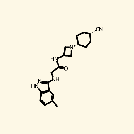 Cc1ccc2[nH]nc(NCC(=O)NC3CN([C@H]4CC[C@@H](C#N)CC4)C3)c2c1